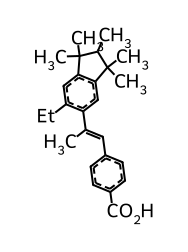 CCc1cc2c(cc1/C(C)=C/c1ccc(C(=O)O)cc1)C(C)(C)C(C)C2(C)C